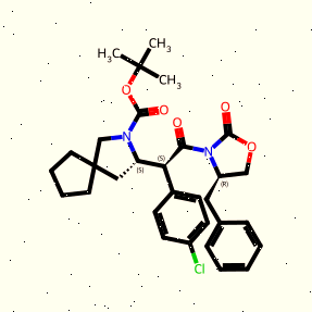 CC(C)(C)OC(=O)N1CC2(CCCC2)C[C@H]1[C@@H](C(=O)N1C(=O)OC[C@H]1Cc1ccccc1)c1ccc(Cl)cc1